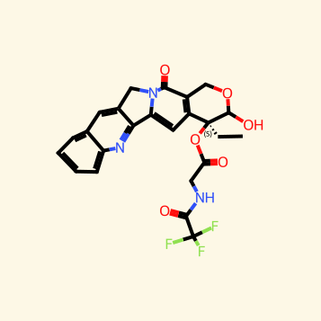 CC[C@]1(OC(=O)CNC(=O)C(F)(F)F)c2cc3n(c(=O)c2COC1O)Cc1cc2ccccc2nc1-3